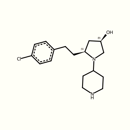 O[C@@H]1C[C@H](CCc2ccc(Cl)cc2)N(C2CCNCC2)C1